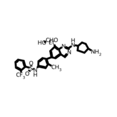 CCc1cc(-c2ccc(NS(=O)(=O)c3ccccc3C(F)(F)F)cc2C)cc2cnc(NC3CCC(N)CC3)nc12.O=CO